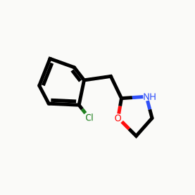 Clc1ccccc1CC1NCCO1